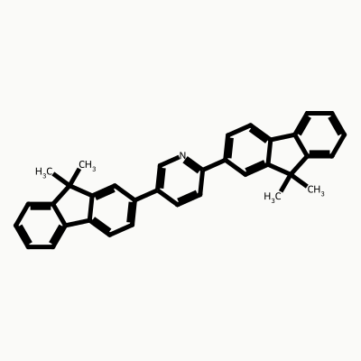 CC1(C)c2ccccc2-c2ccc(-c3ccc(-c4ccc5c(c4)C(C)(C)c4ccccc4-5)nc3)cc21